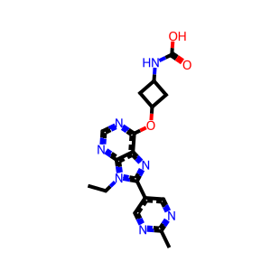 CCn1c(-c2cnc(C)nc2)nc2c(OC3CC(NC(=O)O)C3)ncnc21